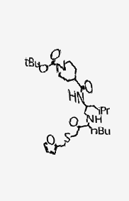 CCCCC(NCC(CC(C)C)NC(=O)C1CCN(C(=O)OC(C)(C)C)CC1)C(=O)CSCc1ccco1